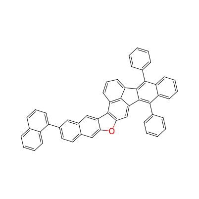 c1ccc(-c2c3c(c(-c4ccccc4)c4ccccc24)-c2cc4oc5cc6ccc(-c7cccc8ccccc78)cc6cc5c4c4cccc-3c24)cc1